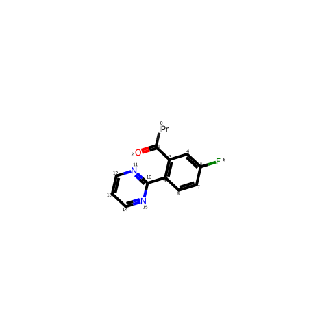 CC(C)C(=O)c1cc(F)ccc1-c1ncccn1